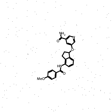 COc1ccc(C(=O)Nc2cccc3c2CCC3Oc2cncc(C(N)=O)c2)cc1